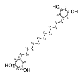 Oc1cc(O)cc(C=CCCCCCCCCCCCCc2cc(O)cc(O)c2)c1